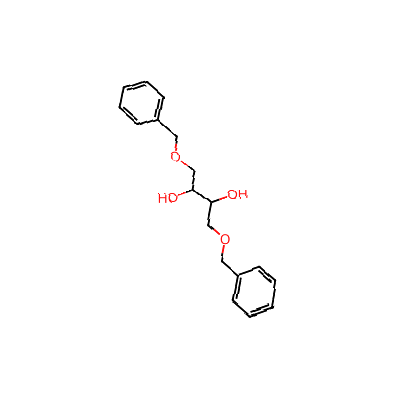 OC(COCc1ccccc1)C(O)COCc1ccccc1